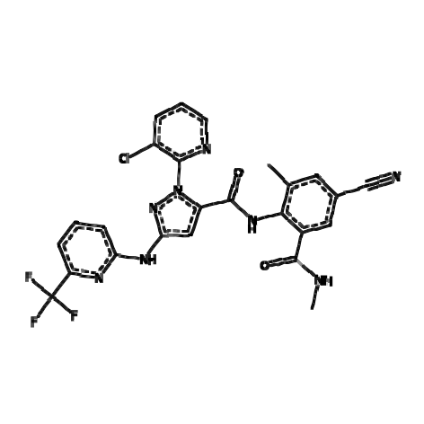 CNC(=O)c1cc(C#N)cc(C)c1NC(=O)c1cc(Nc2cccc(C(F)(F)F)n2)nn1-c1ncccc1Cl